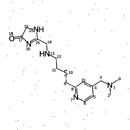 CN(C)Cc1ccnc(CSCCNCC2=NC(=O)CN2)c1